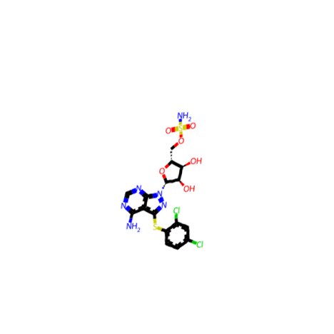 Nc1ncnc2c1c(Sc1ccc(Cl)cc1Cl)nn2[C@@H]1O[C@H](COS(N)(=O)=O)[C@@H](O)[C@H]1O